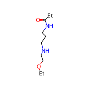 CCOCCNCCCNC(=O)CC